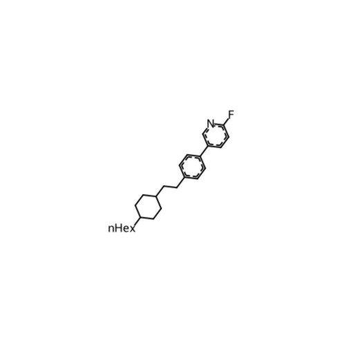 CCCCCCC1CCC(CCc2ccc(-c3ccc(F)nc3)cc2)CC1